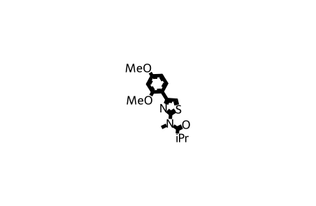 COc1ccc(-c2csc(N(C)C(=O)C(C)C)n2)c(OC)c1